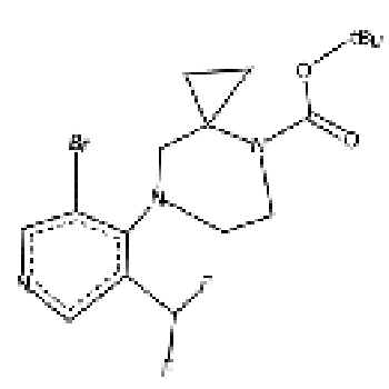 CC(C)(C)OC(=O)N1CCN(c2c(Br)cncc2C(F)F)CC12CC2